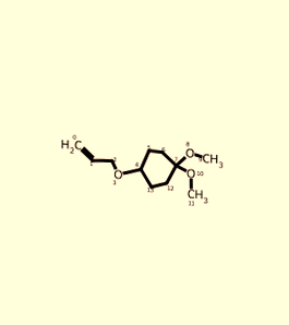 C=CCOC1CCC(OC)(OC)CC1